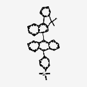 CC1(C)c2ccccc2-c2c1cc(-c1c3ccccc3c(-c3ccc([Si](C)(C)C)cc3)c3ccccc13)c1ccccc21